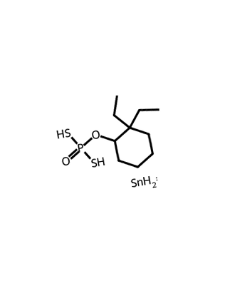 CCC1(CC)CCCCC1OP(=O)(S)S.[SnH2]